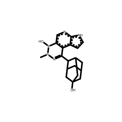 CN1N=C(C2C3CC4CC2CC(O)(C4)C3)c2c(cnc3[nH]ccc23)B1O